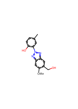 COc1cc2nn(-c3cc(C)ccc3O)nc2cc1CO